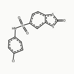 O=c1sc2ccc(S(=O)(=O)Nc3ccc(Cl)cc3)cc2s1